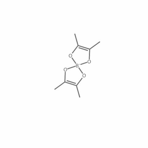 CC1=C(C)O[B-]2(O1)OC(C)=C(C)O2